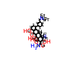 CCN(Cc1cccc(-c2ccc(O)c3c2C[C@H]2C[C@H]4[C@H](N(C)C)C(O)=C(C(N)=O)C(=O)[C@@]4(O)C(O)=C2C3=O)c1)C(C)C